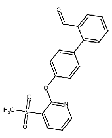 CS(=O)(=O)c1cccnc1Oc1ccc(-c2ccccc2C=O)cc1